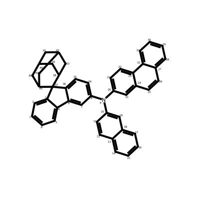 c1ccc2c(c1)-c1cc(N(c3ccc4ccccc4c3)c3ccc4c(ccc5ccccc54)c3)ccc1C21C2CC3CC(C2)CC1C3